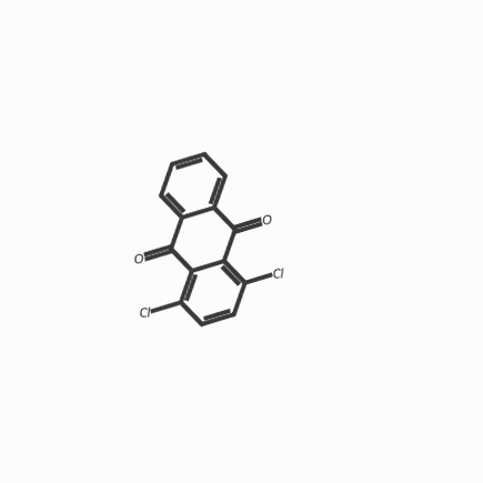 O=C1c2ccccc2C(=O)c2c(Cl)ccc(Cl)c21